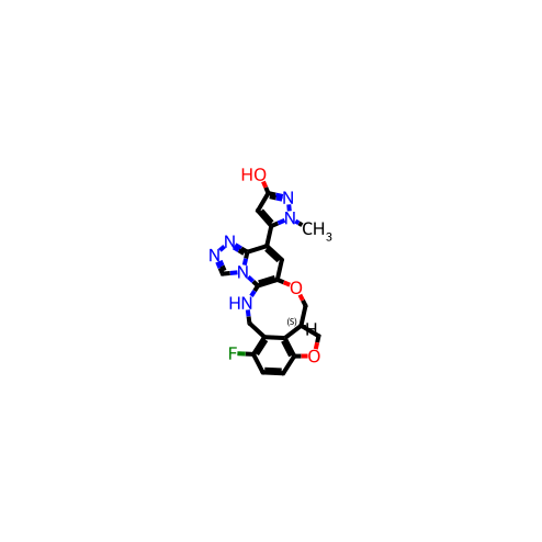 Cn1nc(O)cc1-c1cc2c(n3cnnc13)NCc1c(F)ccc3c1[C@@H](CO3)CO2